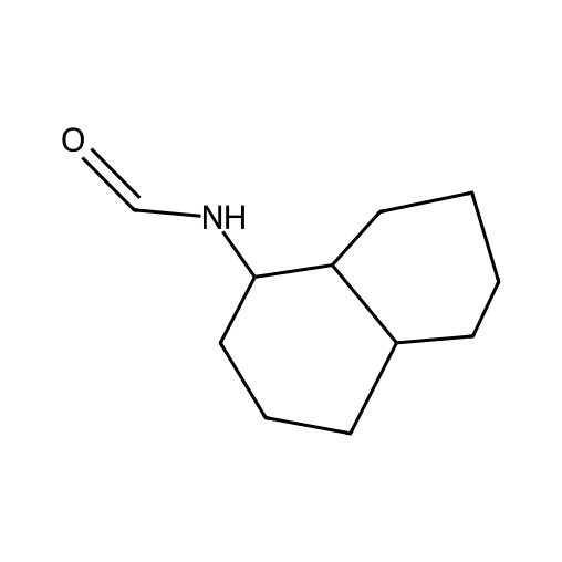 O=CNC1CCCC2CCCCC21